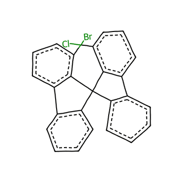 Clc1cccc2c1C1(c3ccccc3-2)c2ccccc2-c2cccc(Br)c21